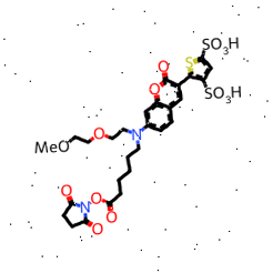 COCCOCCN(CCCCCC(=O)ON1C(=O)CCC1=O)c1ccc2cc(-c3sc(S(=O)(=O)O)cc3S(=O)(=O)O)c(=O)oc2c1